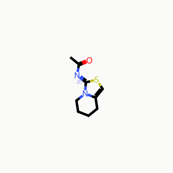 CC(=O)/N=c1\scc2n1CCCC2